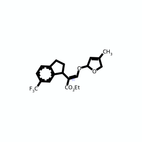 CCOC(=O)/C(=C/OC1C=C(C)CO1)C1CCc2ccc(C(F)(F)F)cc21